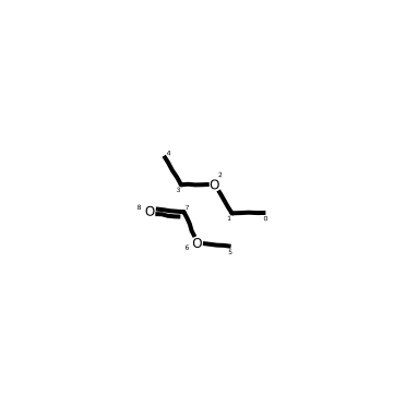 CCOCC.COC=O